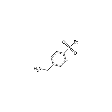 CCS(=O)(=O)c1[c]cc(CN)cc1